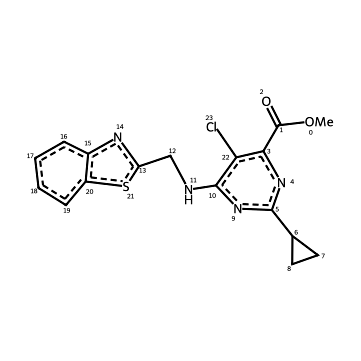 COC(=O)c1nc(C2CC2)nc(NCc2nc3ccccc3s2)c1Cl